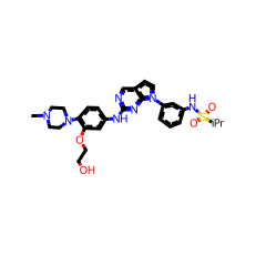 CC(C)S(=O)(=O)Nc1cccc(-n2ccc3cnc(Nc4ccc(N5CCN(C)CC5)c(OCCO)c4)nc32)c1